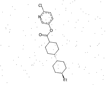 CC[C@H]1CC[C@H](C2CCC(C(=O)Oc3ccc(Cl)nc3)CC2)CC1